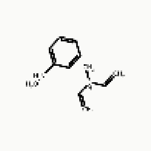 C=C[SiH](C)C=C.Nc1ccccc1.O